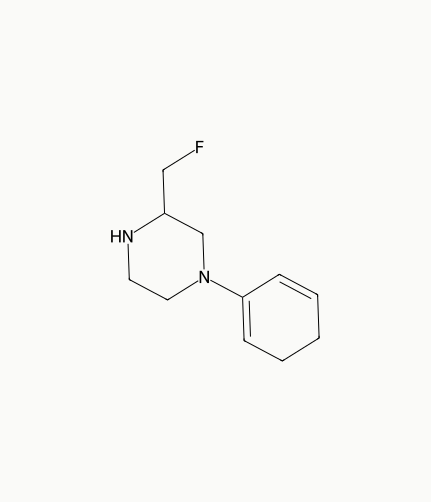 FCC1CN(C2=CCCC=C2)CCN1